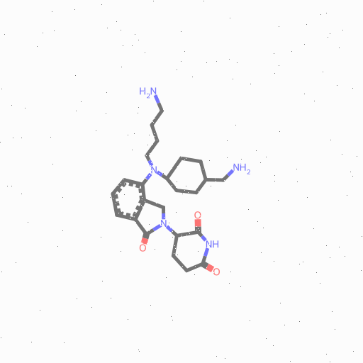 NCCCCN(c1cccc2c1CN(C1CCC(=O)NC1=O)C2=O)C1CCC(CN)CC1